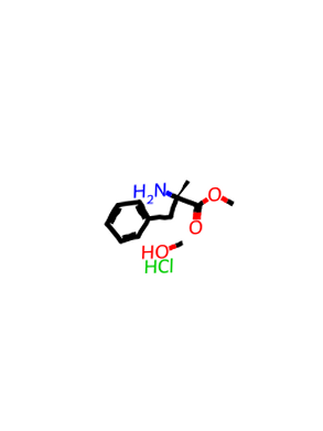 CO.COC(=O)[C@@](C)(N)Cc1ccccc1.Cl